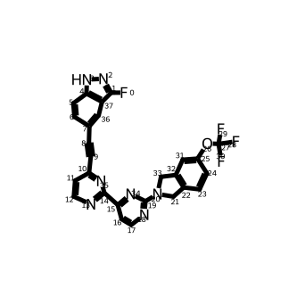 Fc1n[nH]c2ccc(C#Cc3ccnc(-c4ccnc(N5Cc6ccc(OC(F)(F)F)cc6C5)n4)n3)cc12